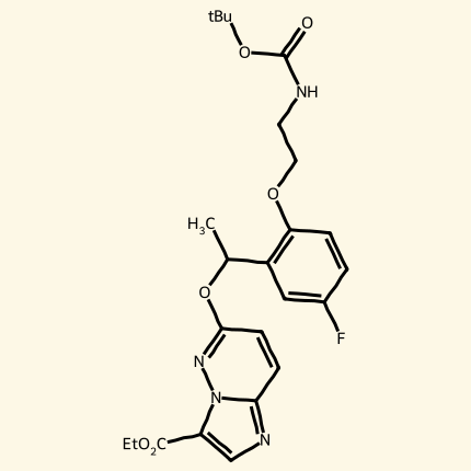 CCOC(=O)c1cnc2ccc(OC(C)c3cc(F)ccc3OCCNC(=O)OC(C)(C)C)nn12